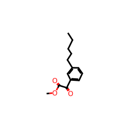 CCCCCc1cccc(C(=O)C(=O)OC)c1